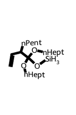 C=CC(CCCCC)C(O[SiH3])(OCCCCCCC)OCCCCCCC